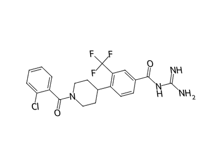 N=C(N)NC(=O)c1ccc(C2CCN(C(=O)c3ccccc3Cl)CC2)c(C(F)(F)F)c1